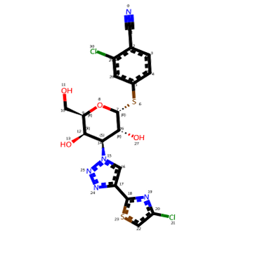 N#Cc1ccc(S[C@H]2O[C@H](CO)[C@H](O)[C@H](n3cc(-c4nc(Cl)cs4)nn3)[C@H]2O)cc1Cl